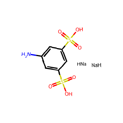 Nc1cc(S(=O)(=O)O)cc(S(=O)(=O)O)c1.[NaH].[NaH]